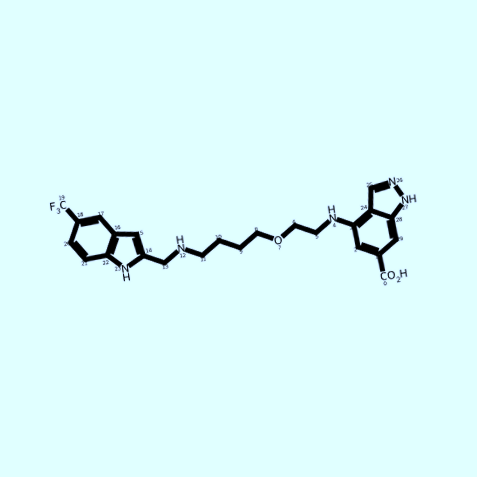 O=C(O)c1cc(NCCOCCCCNCc2cc3cc(C(F)(F)F)ccc3[nH]2)c2cn[nH]c2c1